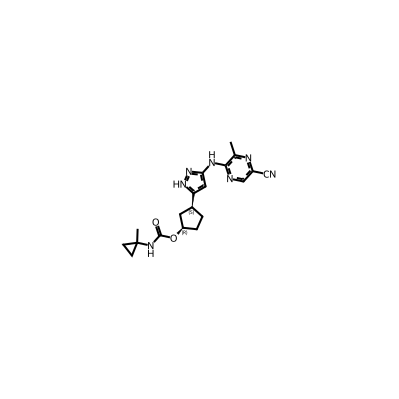 Cc1nc(C#N)cnc1Nc1cc([C@H]2CC[C@@H](OC(=O)NC3(C)CC3)C2)[nH]n1